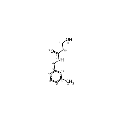 Cc1cccc(CNC(=O)CCO)c1